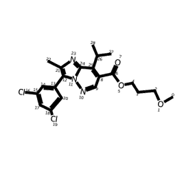 COCCCOC(=O)c1cnn2c(-c3cc(Cl)cc(Cl)c3)c(C)nc2c1C(C)C